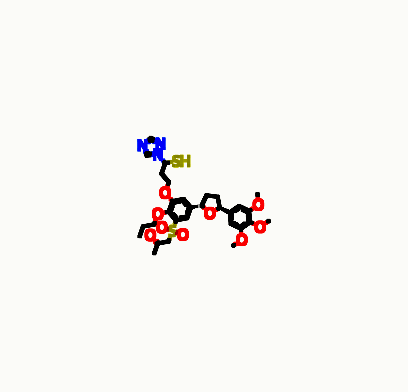 CCCOc1c(OCCC(S)n2cncn2)cc([C@@H]2CC[C@@H](c3cc(OC)c(OC)c(OC)c3)O2)cc1S(=O)(=O)CC(C)=O